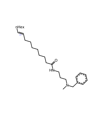 CCCCCC/C=C/CCCCCCCC(=O)NCCCN(C)Cc1ccccc1